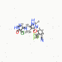 CC1N=C(Oc2cccc(C#N)c2C(F)(F)F)C2=C(CN(c3cn[nH]c(=O)c3Cl)CC2)N1